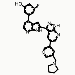 Oc1cc(F)cc(-c2ccnc3[nH]c(-c4n[nH]c5ncc(-c6cncc(CN7CCCC7)c6)cc45)cc23)c1